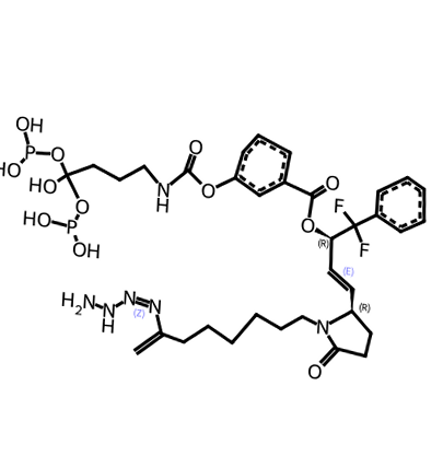 C=C(CCCCCCN1C(=O)CC[C@@H]1/C=C/[C@@H](OC(=O)c1cccc(OC(=O)NCCCC(O)(OP(O)O)OP(O)O)c1)C(F)(F)c1ccccc1)/N=N\NN